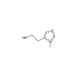 C[n+]1cscc1CC[NH]